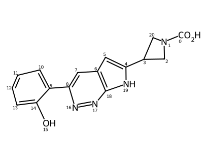 O=C(O)N1CC(c2cc3cc(-c4ccccc4O)nnc3[nH]2)C1